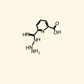 N=C(NNN)c1cccc(C(=O)O)n1